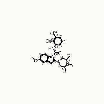 COc1ccc2c(c1)cc(N1CC(C)N(C)C(C)C1)n2C(=O)Nc1cccc(Cl)c1Cl